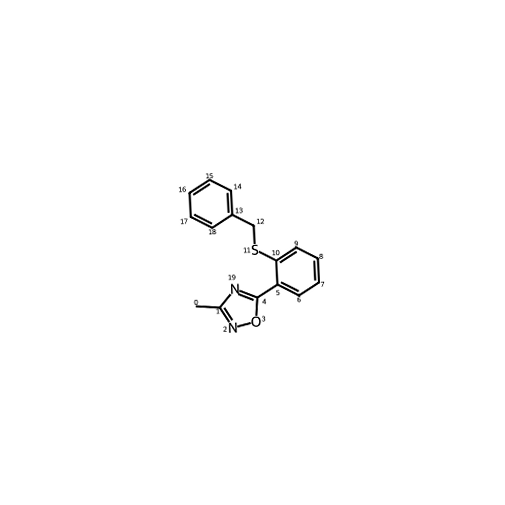 Cc1noc(-c2ccccc2SCc2ccccc2)n1